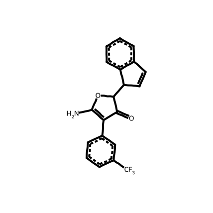 NC1=C(c2cccc(C(F)(F)F)c2)C(=O)C(C2C=Cc3ccccc32)O1